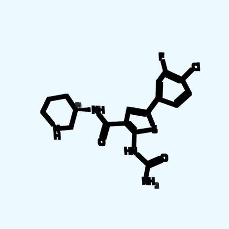 NC(=O)Nc1sc(-c2ccc(Cl)c(F)c2)cc1C(=O)N[C@H]1CCCNC1